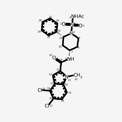 CC(=O)NS(=O)(=O)N1CC[C@H](NC(=O)c2cc3c(Cl)c(Cl)ccc3n2C)C[C@@H]1c1ccccc1